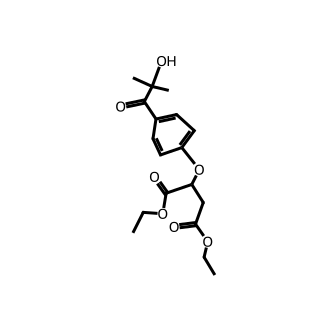 CCOC(=O)CC(Oc1ccc(C(=O)C(C)(C)O)cc1)C(=O)OCC